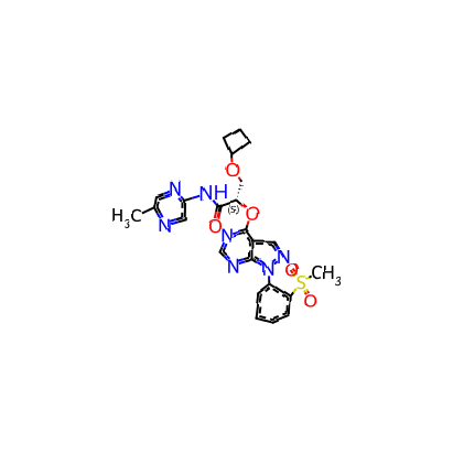 Cc1cnc(NC(=O)[C@H](COC2CCC2)Oc2ncnc3c2cnn3-c2ccccc2S(C)(=O)=O)cn1